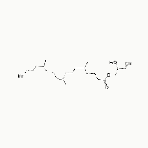 CC(C)CCCC(C)CCCC(C)CCCC(C)CCCC(=O)OCC(O)CO